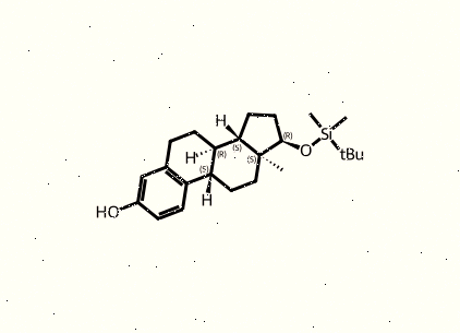 CC(C)(C)[Si](C)(C)O[C@@H]1CC[C@H]2[C@@H]3CCc4cc(O)ccc4[C@H]3CC[C@]12C